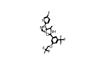 CC(NC(=O)c1cc(OCC(F)(F)F)cc(C(F)(F)F)c1)c1ncnn1-c1ccc(F)cn1